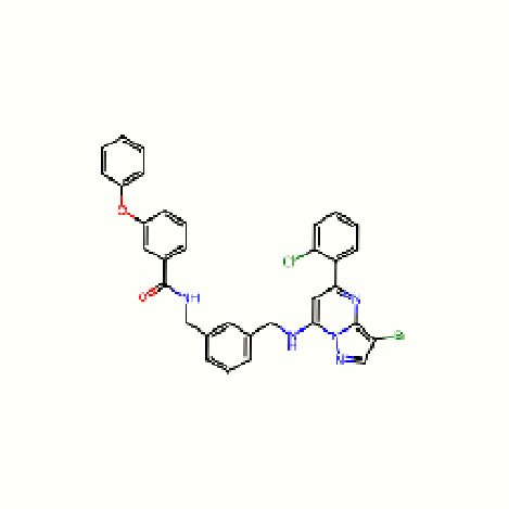 O=C(NCc1cccc(CNc2cc(-c3ccccc3Cl)nc3c(Br)cnn23)c1)c1cccc(Oc2ccccc2)c1